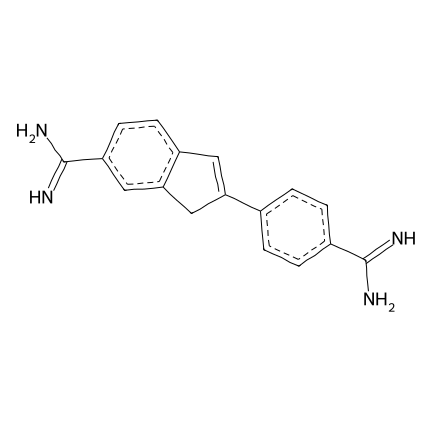 N=C(N)c1ccc(C2=Cc3ccc(C(=N)N)cc3C2)cc1